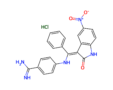 Cl.N=C(N)c1ccc(N/C(=C2\C(=O)Nc3ccc([N+](=O)[O-])cc32)c2ccccc2)cc1